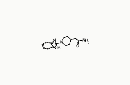 NC(=O)CC1CCN(c2nc3ccccc3[nH]2)CC1